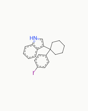 Ic1ccc(C2(c3c[nH]c4ccccc34)CCCCC2)cc1